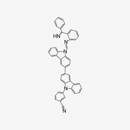 N#Cc1cccc(-n2c3ccccc3c3cc(-c4ccc5c(c4)c4ccccc4n5/C=N/c4ccccc4C(=N)c4ccccc4)ccc32)c1